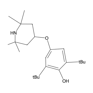 CC1(C)CC(Oc2cc(C(C)(C)C)c(O)c(C(C)(C)C)c2)CC(C)(C)N1